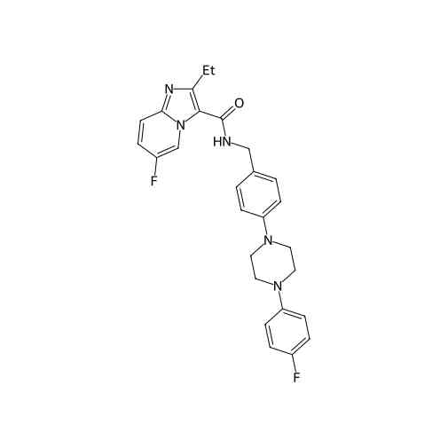 CCc1nc2ccc(F)cn2c1C(=O)NCc1ccc(N2CCN(c3ccc(F)cc3)CC2)cc1